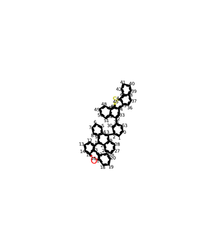 c1cc(-c2c3ccccc3c(-c3cccc4oc5ccccc5c34)c3ccccc23)cc(-c2cc3c4ccc5ccccc5c4sc3c3ccccc23)c1